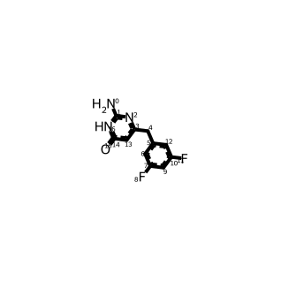 Nc1nc(Cc2cc(F)cc(F)c2)cc(=O)[nH]1